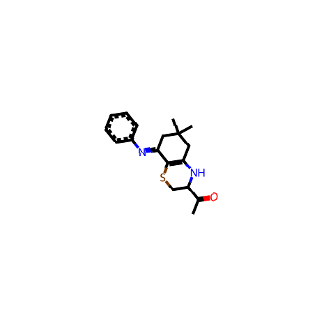 CC(=O)C1CSC2=C(CC(C)(C)C/C2=N\c2ccccc2)N1